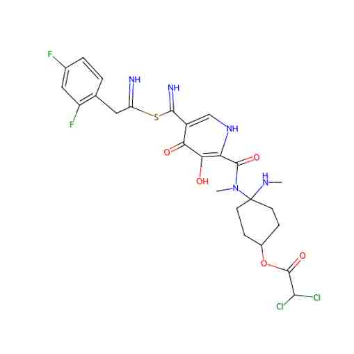 CNC1(N(C)C(=O)c2[nH]cc(C(=N)SC(=N)Cc3ccc(F)cc3F)c(=O)c2O)CCC(OC(=O)C(Cl)Cl)CC1